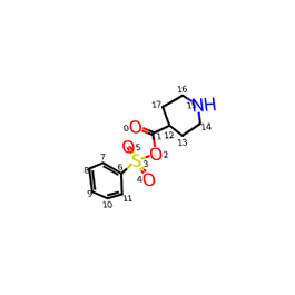 O=C(OS(=O)(=O)c1ccccc1)C1CCNCC1